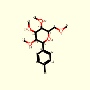 COCC1OC(c2ccc(C)cc2)C(OC)C(OC)C1OC